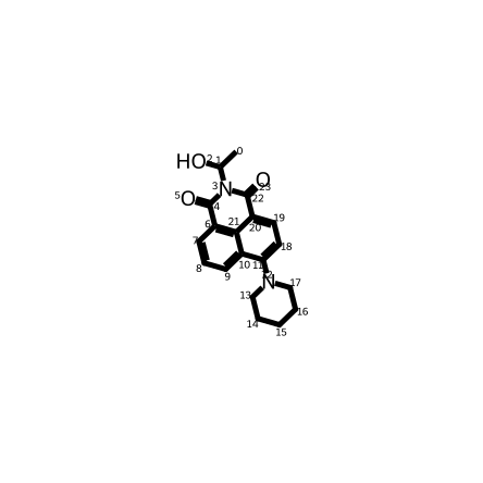 CC(O)N1C(=O)c2cccc3c(N4CCCCC4)ccc(c23)C1=O